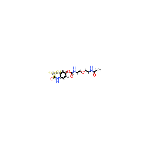 CC(C)C(=O)NCCOCCNC(=O)Oc1ccc(NC(=O)[SH](S)S)cc1